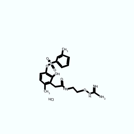 Cc1cccc(S(=O)(=O)Oc2ccc(C)c(CC(=O)NCCONC(=N)N)c2O)c1.Cl